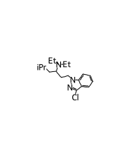 CCN(CC)C(CCn1nc(Cl)c2ccccc21)CC(C)C